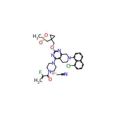 C=C(F)C(=O)N1CCN(c2nc(OCC3(CS(C)(=O)=O)CC3)nc3c2CCN(c2cccc4cccc(Cl)c24)C3)C[C@@H]1CC#N